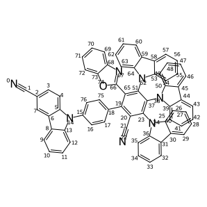 N#Cc1ccc2c(c1)c1ccccc1n2-c1ccc(-c2c(C#N)c(-n3c4ccccc4c4ccccc43)c(-n3c4ccccc4c4ccccc43)c(-n3c4ccccc4c4ccccc43)c2-c2nc3ccccc3o2)cc1